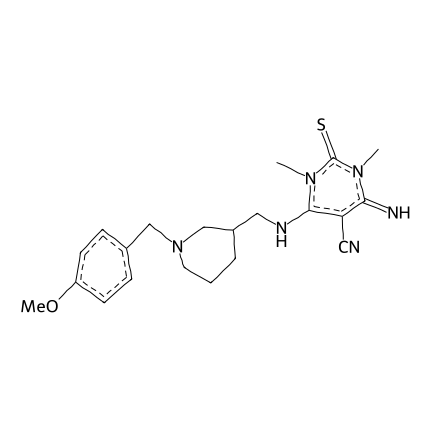 COc1ccc(CN2CCCC(CNc3c(C#N)c(=N)n(C)c(=S)n3C)C2)cc1